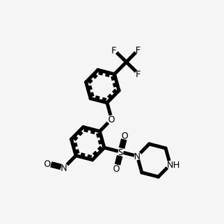 O=Nc1ccc(Oc2cccc(C(F)(F)F)c2)c(S(=O)(=O)N2CCNCC2)c1